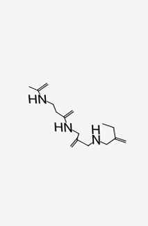 C=C(CC)CNCC(=C)CNC(=C)CCNC(=C)C